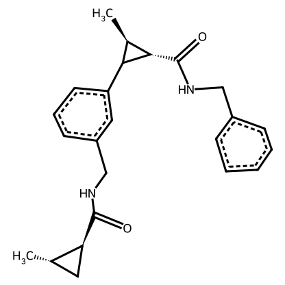 C[C@@H]1C(c2cccc(CNC(=O)[C@H]3C[C@@H]3C)c2)[C@H]1C(=O)NCc1ccccc1